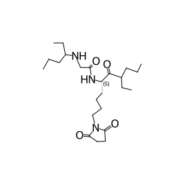 CCCC(CC)NCC(=O)N[C@@H](CCCCN1C(=O)CCC1=O)C(=O)C(CC)CCC